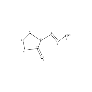 CCC/C=C/C1CCCC1=O